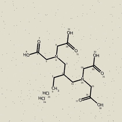 CCC(CN(CC(=O)O)CC(=O)O)CN(CC(=O)O)CC(=O)O.Cl.Cl